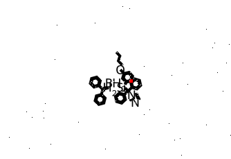 BC=C(c1ccccc1)c1ccccc1.CCCCOc1cccc([SiH2]C(c2ccccc2)(c2ccccc2)n2ccnc2)c1